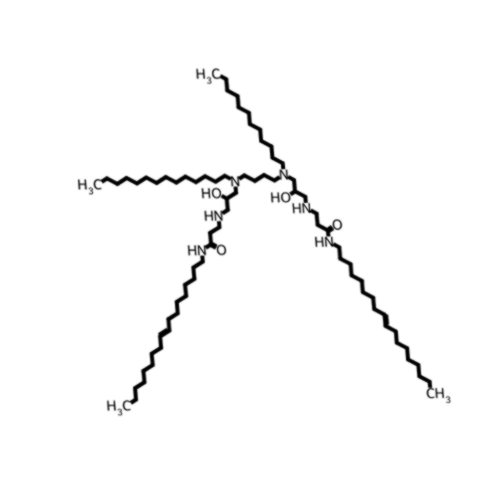 CCCCCCCC/C=C/CCCCCCCCNC(=O)CCNCC(O)CN(CCCCCCCCCCCC)CCCCN(CCCCCCCCCCCCCC)CC(O)CNCCC(=O)NCCCCCCCC/C=C/CCCCCCCC